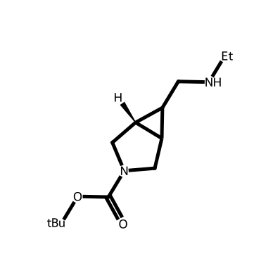 CCNCC1C2CN(C(=O)OC(C)(C)C)C[C@H]12